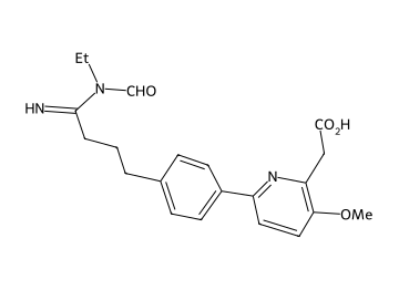 CCN(C=O)C(=N)CCCc1ccc(-c2ccc(OC)c(CC(=O)O)n2)cc1